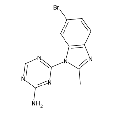 Cc1nc2ccc(Br)cc2n1-c1ncnc(N)n1